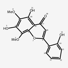 COc1c(O)c(OC)c2oc(-c3ccccc3O)cc(=O)c2c1O